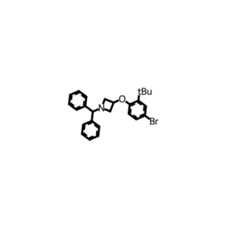 CC(C)(C)c1cc(Br)ccc1OC1CN(C(c2ccccc2)c2ccccc2)C1